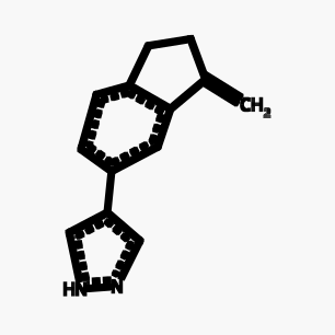 C=C1CCc2ccc(-c3cn[nH]c3)cc21